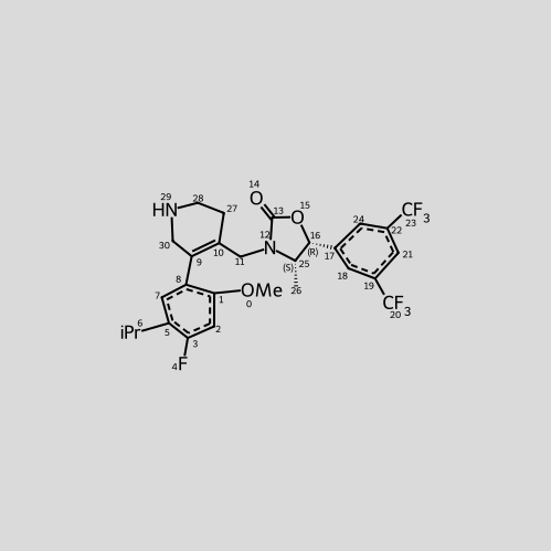 COc1cc(F)c(C(C)C)cc1C1=C(CN2C(=O)O[C@H](c3cc(C(F)(F)F)cc(C(F)(F)F)c3)[C@@H]2C)CCNC1